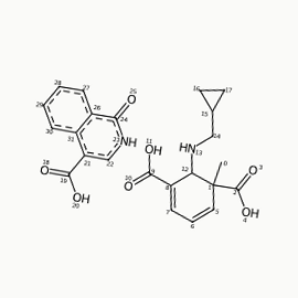 CC1(C(=O)O)C=CC=C(C(=O)O)C1NCC1CC1.O=C(O)c1c[nH]c(=O)c2ccccc12